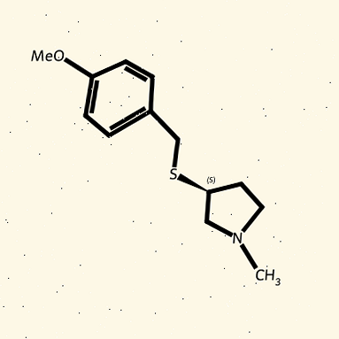 COc1ccc(CS[C@H]2CCN(C)C2)cc1